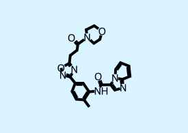 Cc1ccc(-c2noc(CCC(=O)N3CCOCC3)n2)cc1NC(=O)c1cnc2ccccn12